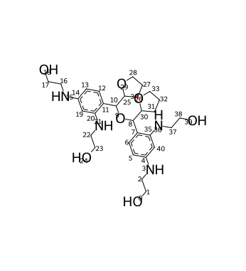 OCCNc1ccc(C(OC(c2ccc(NCCO)cc2NCCO)C2CCCO2)C2CCCO2)c(NCCO)c1